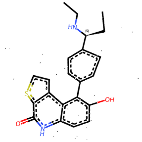 CCN[C@@H](CC)c1ccc(-c2c(O)ccc3[nH]c(=O)c4sccc4c23)cc1